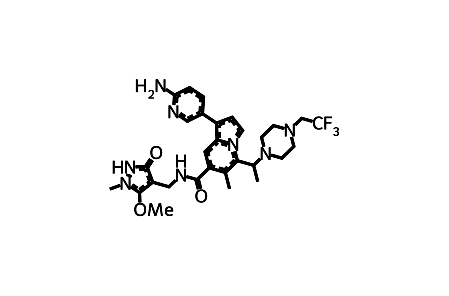 COc1c(CNC(=O)c2cc3c(-c4ccc(N)nc4)ccn3c(C(C)N3CCN(CC(F)(F)F)CC3)c2C)c(=O)[nH]n1C